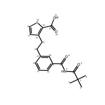 CC(C)(C)C(=O)NC(=O)c1cccc(CCc2ccsc2C(=O)O)c1